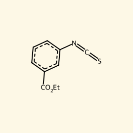 CCOC(=O)c1cccc(N=C=S)c1